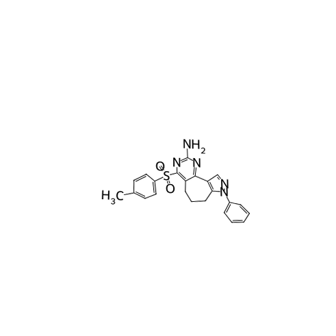 Cc1ccc(S(=O)(=O)c2nc(N)nc3c2CCCc2c-3cnn2-c2ccccc2)cc1